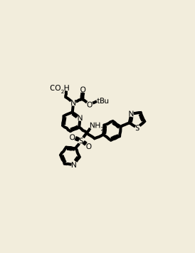 CC(C)(C)OC(=O)N(CC(=O)O)c1cccc(C(N)(Cc2ccc(-c3nccs3)cc2)S(=O)(=O)c2cccnc2)n1